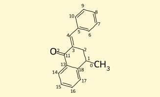 CC1CC(=Cc2ccccc2)C(=O)c2ccccc21